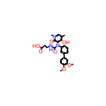 COc1ccc(-c2cccc(N(C(=O)NCCC(=O)O)c3c(O)c(C)cn(C)c3=O)c2)cc1OC